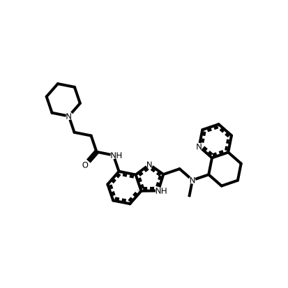 CN(Cc1nc2c(NC(=O)CCN3CCCCC3)cccc2[nH]1)C1CCCc2cccnc21